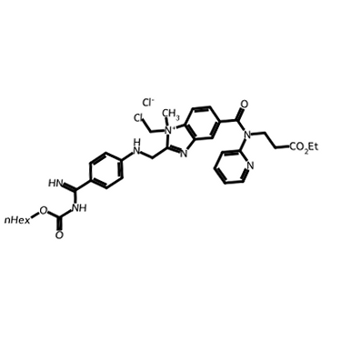 CCCCCCOC(=O)NC(=N)c1ccc(NCC2=Nc3cc(C(=O)N(CCC(=O)OCC)c4ccccn4)ccc3[N+]2(C)CCl)cc1.[Cl-]